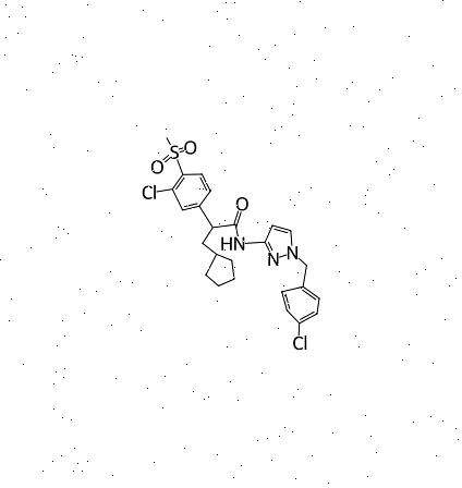 CS(=O)(=O)c1ccc(C(CC2CCCC2)C(=O)Nc2ccn(Cc3ccc(Cl)cc3)n2)cc1Cl